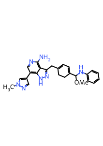 COC(Nc1ccccc1)C1=CC=C(Cc2n[nH]c3c(-c4cnn(C)c4)cnc(N)c23)CC1